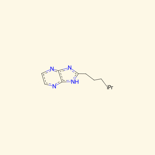 CC(C)CCCc1nc2nccnc2[nH]1